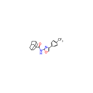 O=C(Nc1nc(-c2ccc(C(F)(F)F)cc2)co1)C12CC3CC(CC(C3)C1)C2